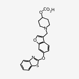 O=C(O)OC1CCN(Cc2coc3cc(Oc4nc5ccccc5s4)ccc23)CC1